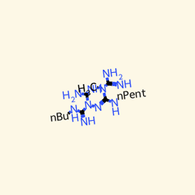 CCCCCN/C(=N/N(C(=N)N)C(=N)NCCCC)N(C)C(=N)N